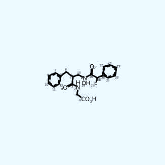 O=C(O)CNC(=O)C(Cc1ccccc1)CN(O)C(=O)C(F)c1ccccc1